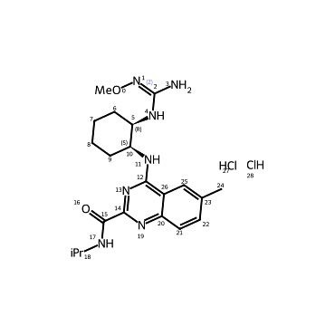 CO/N=C(/N)N[C@@H]1CCCC[C@@H]1Nc1nc(C(=O)NC(C)C)nc2ccc(C)cc12.Cl.Cl